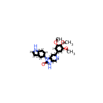 COc1cc(-c2cc3c(cn2)[nH]c(=O)n3-c2ccc3[nH]ccc3c2)cc(OC)c1OC